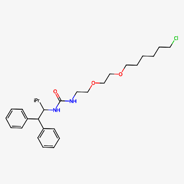 CC(C)C(NC(=O)NCCOCCOCCCCCCCl)C(c1ccccc1)c1ccccc1